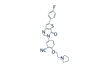 N#Cc1cc(-n2cnc3cc(-c4ccc(F)cc4)sc3c2=O)ccc1OCCN1CCCC1